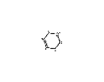 [CH]1CC=CCO1